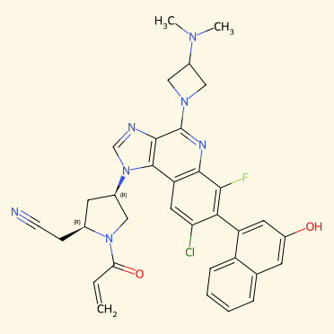 C=CC(=O)N1C[C@H](n2cnc3c(N4CC(N(C)C)C4)nc4c(F)c(-c5cc(O)cc6ccccc56)c(Cl)cc4c32)C[C@@H]1CC#N